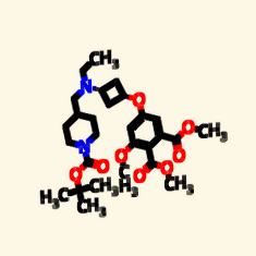 CCN(CC1CCN(C(=O)OC(C)(C)C)CC1)[C@H]1C[C@H](Oc2cc(OC)c(C(=O)OC)c(C(=O)OC)c2)C1